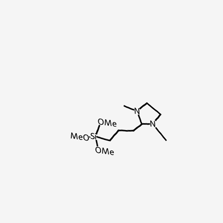 CO[Si](CCCC1N(C)CCN1C)(OC)OC